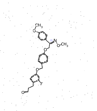 CO/N=C(\COc1ccc(COc2ccc(CCC=O)c(F)c2)cc1)c1ccc(OC)cc1